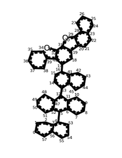 c1ccc2c(-c3c4ccccc4c(-c4ccc(-c5cc6c7ccc8ccccc8c7oc6c6oc7ccccc7c56)c5ccccc45)c4ccccc34)cccc2c1